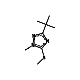 CSc1nc(C(C)(C)C)nn1C